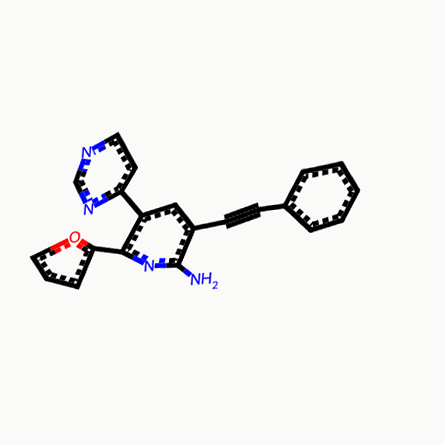 Nc1nc(-c2ccco2)c(-c2ccncn2)cc1C#Cc1ccccc1